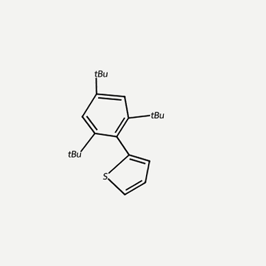 CC(C)(C)c1cc(C(C)(C)C)c(-c2cccs2)c(C(C)(C)C)c1